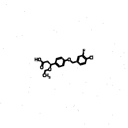 CCO[C@@H](CC(=O)O)c1ccc(OCc2ccc(Cl)c(F)c2)cc1